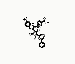 COC(=O)c1csc(NC(=O)[C@H](Cc2ccc(N(C)C)cc2)N2C(=O)NC(C3=COC=C(C4=CC=CCC4)O3)C2=O)n1